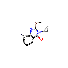 CSc1nc2c(I)cccc2c(=O)n1C1CC1